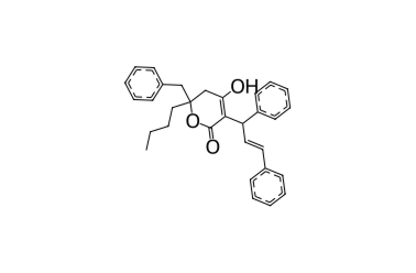 CCCCC1(Cc2ccccc2)CC(O)=C(C(C=Cc2ccccc2)c2ccccc2)C(=O)O1